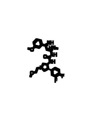 CN/C(=C\C(=N)c1cccc(OC)c1)NC(=O)N[C@@H]1CN(CCOC)C[C@H]1c1ccc(F)c(F)c1